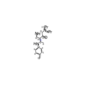 C/C(Nc1ccc(F)cc1)=C(/C=N)C(=O)CN(C(C)C)C(C)C